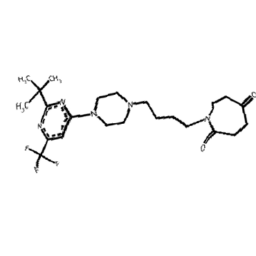 CC(C)(C)c1nc(N2CCN(CCCCN3CCC(=O)CCC3=O)CC2)cc(C(F)(F)F)n1